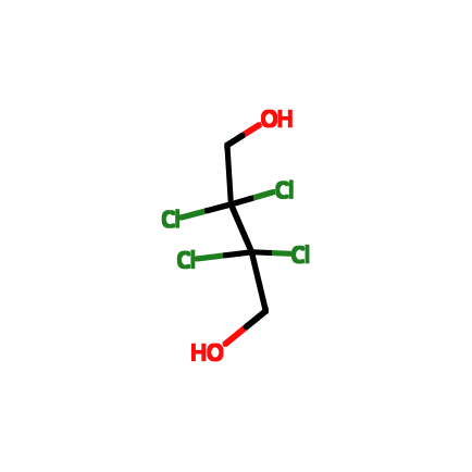 OCC(Cl)(Cl)C(Cl)(Cl)CO